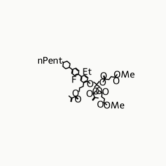 C=C(C)C(=O)OCCCc1cc(-c2ccc(C3CCC(CCCCC)CC3)cc2F)c(CC)cc1OCC(COC(=O)CCC(=O)OC)(COC(=O)CCC(=O)OC)COC(=O)C(=C)C